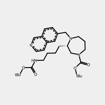 CC(C)(C)OC(=O)NCCCC[C@H]1CN(C(=O)OC(C)(C)C)CCCN1Cc1ccc2cnccc2c1